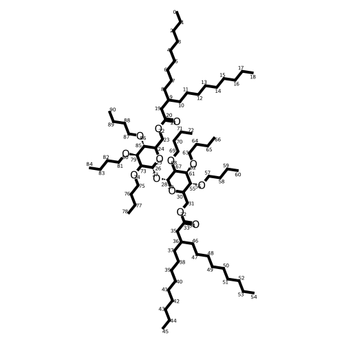 CCCCCCCCCC(CCCCCCCCC)CC(=O)OCC1O[C@H](O[C@H]2OC(COC(=O)CC(CCCCCCCCC)CCCCCCCCC)[C@@H](OCCCC)[C@H](OCCCC)C2OCCCC)C(OCCCC)[C@@H](OCCCC)[C@@H]1OCCCC